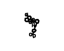 COC(=O)c1ccc(C#Cc2ccccc2NS(=O)(=O)c2ccc(OC)c3ccccc23)cc1